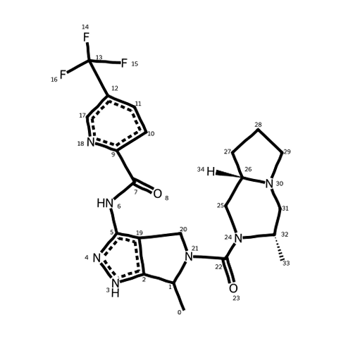 CC1c2[nH]nc(NC(=O)c3ccc(C(F)(F)F)cn3)c2CN1C(=O)N1C[C@@H]2CCCN2C[C@@H]1C